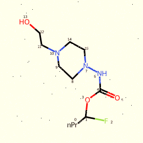 CCCC(F)OC(=O)NN1CCN(CCO)CC1